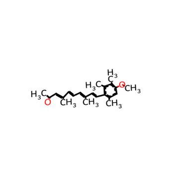 COc1cc(C)c(/C=C/C(C)=C/C=C/C(C)=C/C(C)=O)c(C)c1C